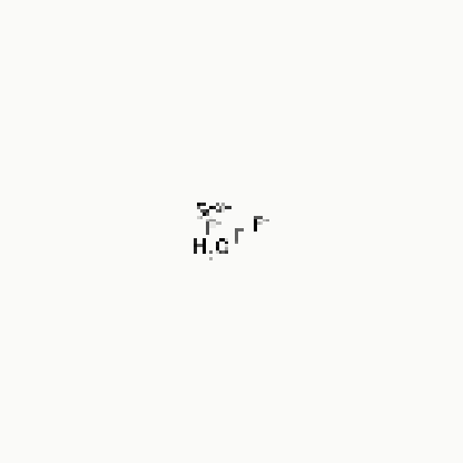 O.[F-].[F-].[F-].[Sc+3]